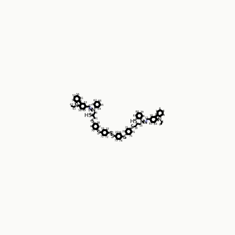 CCn1c2ccccc2c2cc(/C=N/N(CC(S)CSc3ccc(Sc4ccc(SSc5ccc(Sc6ccc(SCC(S)CN(/N=C/c7ccc8c(c7)c7ccccc7n8CC)c7ccccc7)cc6)cc5)cc4)cc3)c3ccccc3)ccc21